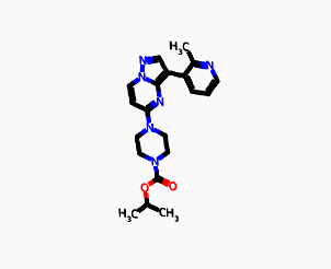 Cc1ncccc1-c1cnn2ccc(N3CCN(C(=O)OC(C)C)CC3)nc12